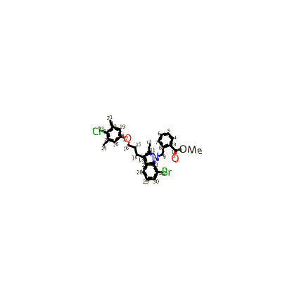 COC(=O)c1ccccc1Cn1c(C)c(CCCOc2cc(C)c(Cl)c(C)c2)c2cccc(Br)c21